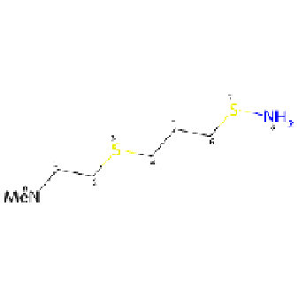 CNCCSCCCSN